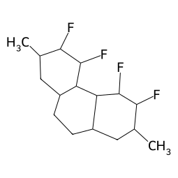 CC1CC2CCC3CC(C)C(F)C(F)C3C2C(F)C1F